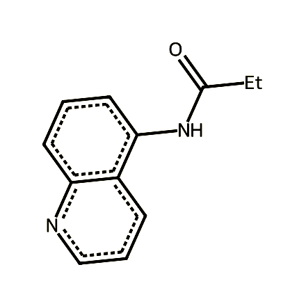 CCC(=O)Nc1cccc2ncccc12